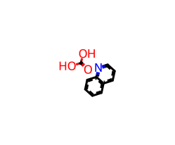 O=C(O)O.c1ccc2ncccc2c1